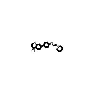 Clc1ccnc2cc(-c3ccc(OCCN4CCCCC4)cc3)ccc12